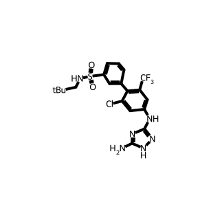 CC(C)(C)CNS(=O)(=O)c1cccc(-c2c(Cl)cc(Nc3n[nH]c(N)n3)cc2C(F)(F)F)c1